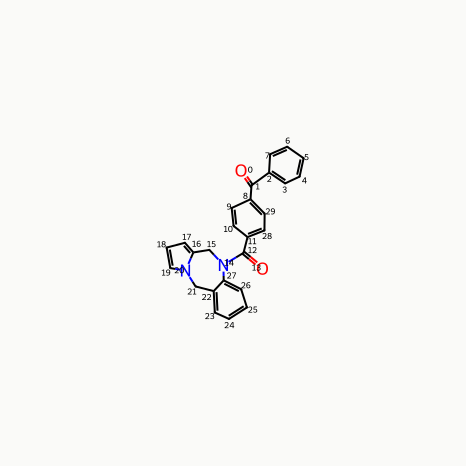 O=C(c1ccccc1)c1ccc(C(=O)N2Cc3cccn3Cc3ccccc32)cc1